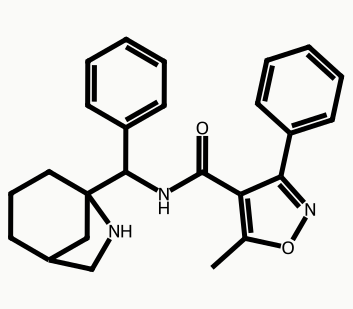 Cc1onc(-c2ccccc2)c1C(=O)NC(c1ccccc1)C12CCCC(CN1)C2